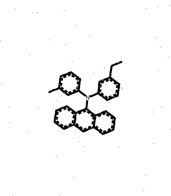 CCc1cccc(N(c2cccc(C)c2)c2c3ccccc3cc3ccccc23)c1